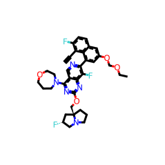 C#Cc1c(F)ccc2cc(OCOCC)cc(-c3ncc4c(N5CCCOCC5)nc(OC[C@@]56CCCN5C[C@H](F)C6)nc4c3F)c12